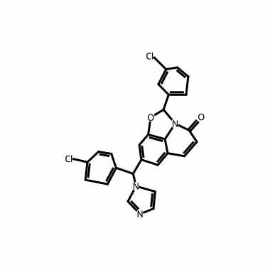 O=c1ccc2cc(C(c3ccc(Cl)cc3)n3ccnc3)cc3c2n1C(c1cccc(Cl)c1)O3